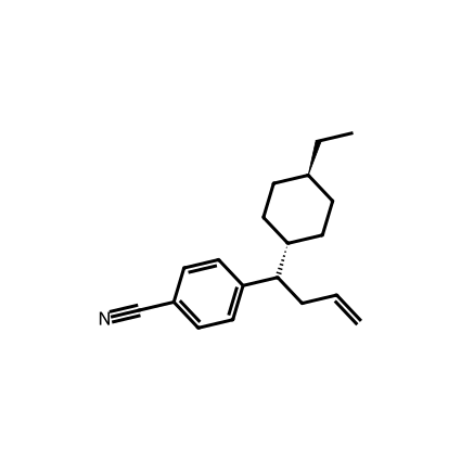 C=CCC(c1ccc(C#N)cc1)[C@H]1CC[C@H](CC)CC1